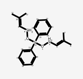 CC(C)=C[SiH2]O[Si](O[SiH2]C=C(C)C)(c1ccccc1)c1ccccc1